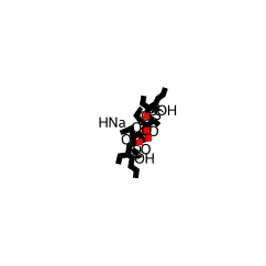 CCCCC(CC)CC(C)(C1(C2(OC3(C4(C(C)(CC(CC)CCCC)S(=O)(=O)O)CCO4)CCO3)CCO2)CCO1)S(=O)(=O)O.[NaH]